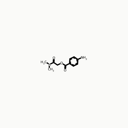 CN(C)C(=O)COC(=O)c1ccc(N)cc1